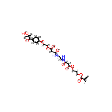 C=C(C)C(=O)OCCCOC(=O)CC(=O)NCCNC(=O)CC(=O)OCCOc1ccc(C(=O)C(C)(C)O)cc1